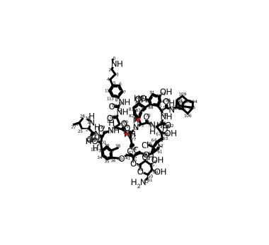 CNCCCc1ccc(NC(=O)NC(=O)C[C@@H]2NC(=O)[C@H](NC(=O)[C@@H](CC(C)C)NC)[C@H](O)c3ccc(c(C)c3)Oc3cc4cc(c3O[C@@H]3O[C@H](CN)[C@@H](O)[C@H](O)[C@H]3O)Oc3ccc(cc3Cl)[C@@H](O)[C@@H]3NC(=O)[C@H](NC(=O)[C@@H]4NC2=O)c2ccc(O)c(c2)-c2c(O)cc(O)cc2[C@@H](C(=O)NC2C4CC5CC(C4)CC2C5)NC3=O)cc1